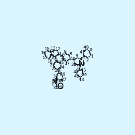 c1ccc(-c2cc(-c3ccc(-c4ccc5ccccc5c4-c4ccc(-c5ccc6ocnc6c5)cc4)cc3)cc(-c3ccccc3)n2)cc1